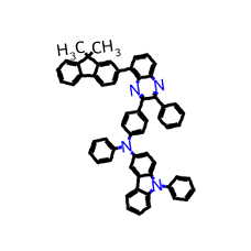 CC1(C)c2ccccc2-c2ccc(-c3cccc4nc(-c5ccccc5)c(-c5ccc(N(c6ccccc6)c6ccc7c(c6)c6ccccc6n7-c6ccccc6)cc5)nc34)cc21